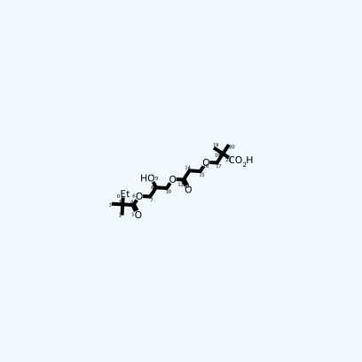 CCC(C)(C)C(=O)OCC(O)COC(=O)CCOCC(C)(C)C(=O)O